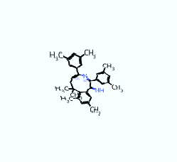 Cc1cc(C)cc(C2=C/CC(C)(C)c3c(C)cc(C)cc3C(=N)/C(c3cc(C)cc(C)c3)=N\2)c1